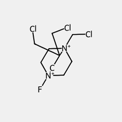 F[N+]12CC[N+](CCl)(CC1)C(CCl)(CCl)C2